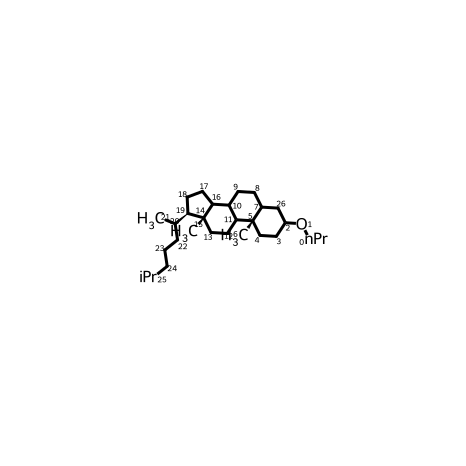 CCCOC1CC[C@@]2(C)C(CCC3C2CC[C@@]2(C)C3CC[C@@H]2C(C)CCCC(C)C)C1